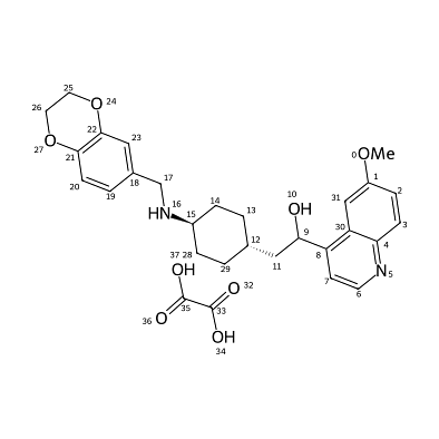 COc1ccc2nccc(C(O)C[C@H]3CC[C@H](NCc4ccc5c(c4)OCCO5)CC3)c2c1.O=C(O)C(=O)O